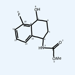 COC(=O)NC1CCC(O)c2c(F)cccc21